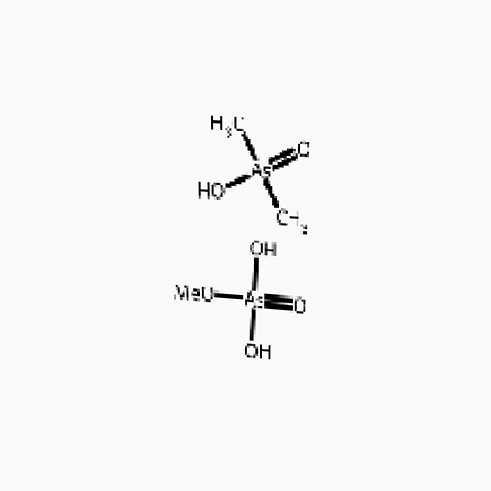 CO[As](=O)(O)O.C[As](C)(=O)O